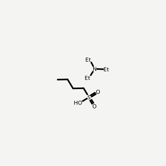 CCCCS(=O)(=O)O.CCN(CC)CC